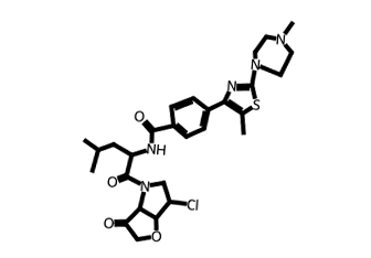 Cc1sc(N2CCN(C)CC2)nc1-c1ccc(C(=O)NC(CC(C)C)C(=O)N2CC(Cl)C3OCC(=O)C32)cc1